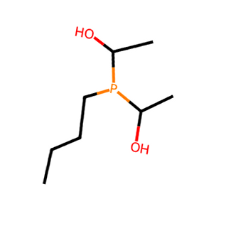 CCCCP(C(C)O)C(C)O